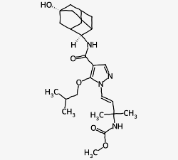 COC(=O)NC(C)(C)/C=C/n1ncc(C(=O)N[C@H]2C3CC4CC2C[C@](O)(C4)C3)c1OCC(C)C